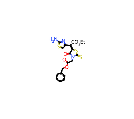 CCOC(=O)C(=C1SC(=S)N(CC(=O)OCc2ccccc2)C1=O)c1csc(N)n1